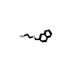 [NH]CCOCc1ccc2ccccc2c1